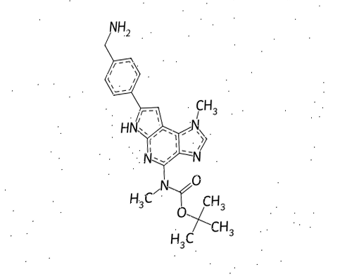 CN(C(=O)OC(C)(C)C)c1nc2[nH]c(-c3ccc(CN)cc3)cc2c2c1ncn2C